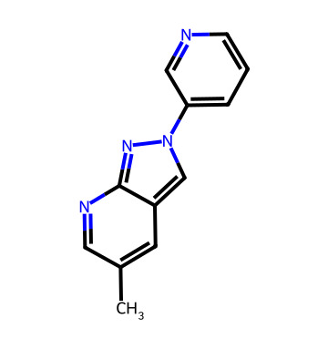 Cc1cnc2nn(-c3cccnc3)cc2c1